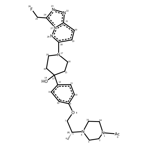 CC(=O)N1CCN([C@H](C)COc2ccc(C3(O)CCN(c4ccc5nnc(CF)n5n4)CC3)cc2)CC1